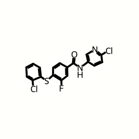 O=C(Nc1ccc(Cl)nc1)c1ccc(Sc2ccccc2Cl)c(F)c1